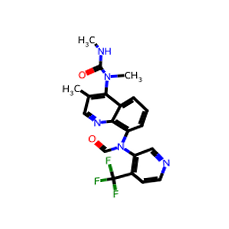 CNC(=O)N(C)c1c(C)cnc2c(N(C=O)c3cnccc3C(F)(F)F)cccc12